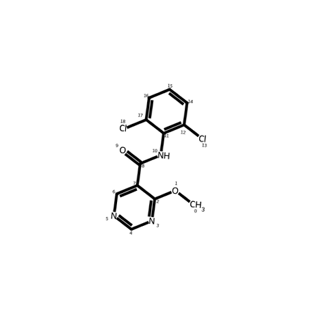 COc1ncncc1C(=O)Nc1c(Cl)cccc1Cl